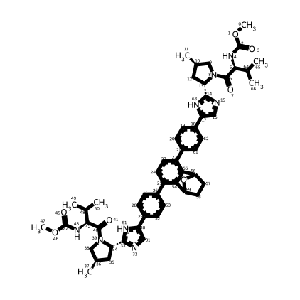 COC(=O)N[C@H](C(=O)N1C[C@H](C)C[C@H]1c1ncc(-c2ccc(-c3ccc(-c4ccc(-c5cnc([C@@H]6C[C@@H](C)CN6C(=O)[C@@H](NC(=O)OC)C(C)C)[nH]5)cc4)c4c3C3CCC4O3)cc2)[nH]1)C(C)C